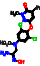 CC(C)c1cc(Oc2c(Cl)cc(N(C/C(N)=N\O)C(=O)O)cc2Cl)nn(C)c1=O